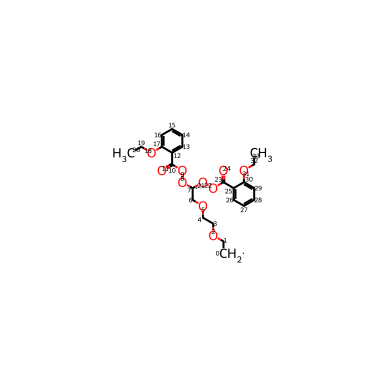 [CH2]COCCOC[C](OOC(=O)c1ccccc1OCC)OOC(=O)c1ccccc1OCC